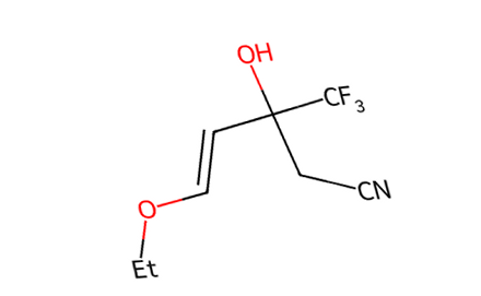 CCOC=CC(O)(CC#N)C(F)(F)F